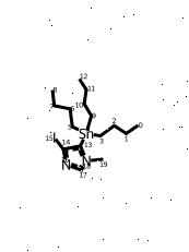 CCC[CH2][Sn]([CH2]CCC)([CH2]CCC)[c]1c(I)ncn1C